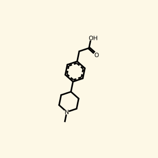 CN1CCC(c2ccc(CC(=O)O)cc2)CC1